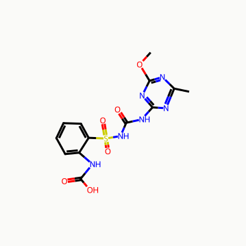 COc1nc(C)nc(NC(=O)NS(=O)(=O)c2ccccc2NC(=O)O)n1